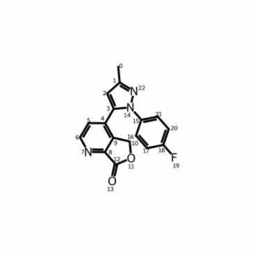 Cc1cc(-c2ccnc3c2COC3=O)n(-c2ccc(F)cc2)n1